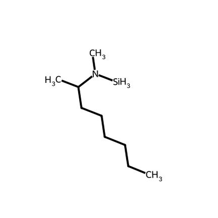 CCCCCCC(C)N(C)[SiH3]